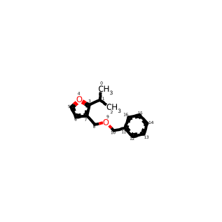 CC(C)c1occc1COCc1ccccc1